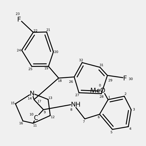 COc1ccccc1CNC1CC2CCN(CC2)C1C(c1ccc(F)cc1)c1ccc(F)cc1